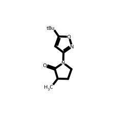 CC1CCN(c2cc(C(C)(C)C)on2)C1=O